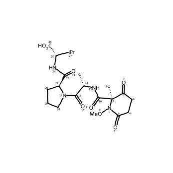 CON1C(=O)CCC(=O)[C@]1(C)C(=O)N[C@@H](C)C(=O)N1CCC[C@H]1C(=O)N[C@H](C(=O)O)C(C)C